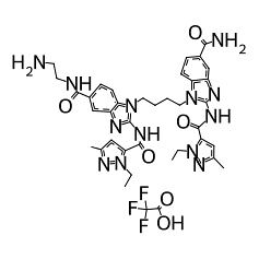 CCn1nc(C)cc1C(=O)Nc1nc2cc(C(N)=O)ccc2n1CCCCn1c(NC(=O)c2cc(C)nn2CC)nc2cc(C(=O)NCCN)ccc21.O=C(O)C(F)(F)F